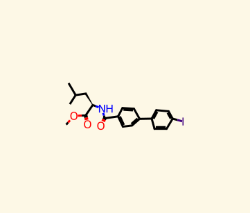 COC(=O)[C@@H](CC(C)C)NC(=O)c1ccc(-c2ccc(I)cc2)cc1